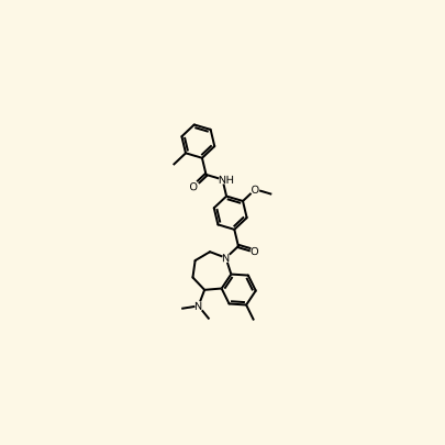 COc1cc(C(=O)N2CCCC(N(C)C)c3cc(C)ccc32)ccc1NC(=O)c1ccccc1C